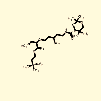 CC1(C)OCC(C)(C)[C@H](C(=O)NCCC(N)CCSC(CC(=O)O)C(=O)OCC[N+](C)(C)C)O1